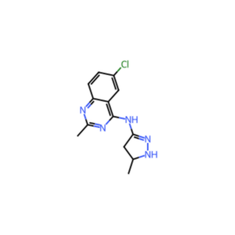 Cc1nc(NC2=NNC(C)C2)c2cc(Cl)ccc2n1